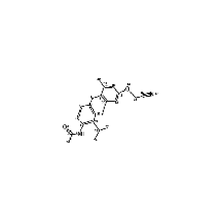 CC(=O)Nc1ccc(Cc2c(C)cc(OCC#N)cc2C)cc1C(C)C